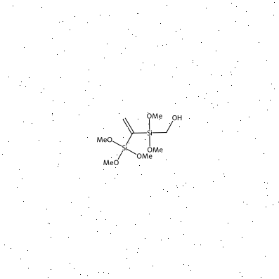 C=C([Si](CO)(OC)OC)[Si](OC)(OC)OC